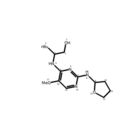 CCCCC(CO)Nc1nc(NC2CCCO2)ncc1OC